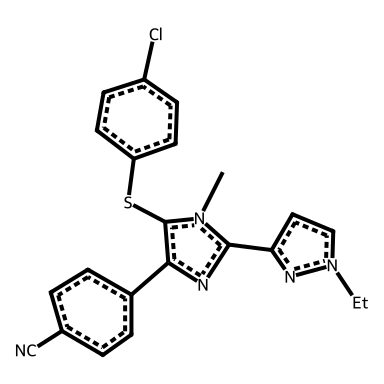 CCn1ccc(-c2nc(-c3ccc(C#N)cc3)c(Sc3ccc(Cl)cc3)n2C)n1